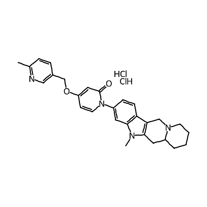 Cc1ccc(COc2ccn(-c3ccc4c5c(n(C)c4c3)CC3CCCCN3C5)c(=O)c2)cn1.Cl.Cl